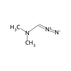 CN(C)C=[N+]=[N-]